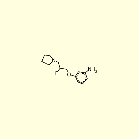 Nc1cccc(OCC(F)CN2CCCC2)c1